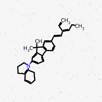 C=CC(/C=C/c1ccc2c(c1)C(C)(C)c1cc(N3CCCC4=C3CCC=C4)ccc1-2)=C\CC